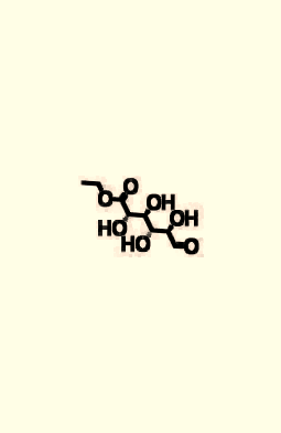 CCOC(=O)[C@@H](O)[C@@H](O)[C@@H](O)[C@@H](O)C=O